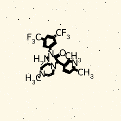 Cc1ccc(C(C(=O)N(N)c2cc(C(F)(F)F)cc(C(F)(F)F)c2)N2CCN(C)CC2)c(C)n1